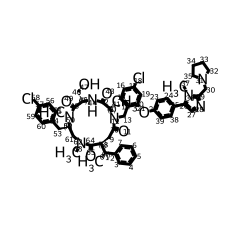 C[C@@H](c1ccccc1)[C@@H]1CC(=O)N(Cc2ccc(Cl)cc2Oc2ccc(-c3cnc(CN4CCCC4)n3C)cc2)[C@@H](C)C(=O)N[C@@H](CO)C(=O)N(C)[C@H](Cc2ccc(Cl)cc2)CN(C)C1=O